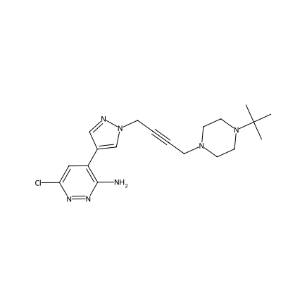 CC(C)(C)N1CCN(CC#CCn2cc(-c3cc(Cl)nnc3N)cn2)CC1